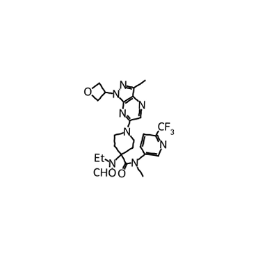 CCN(C=O)C1(C(=O)N(C)c2ccc(C(F)(F)F)nc2)CCN(c2cnc3c(C)nn(C4COC4)c3n2)CC1